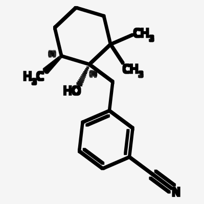 C[C@H]1CCCC(C)(C)[C@@]1(O)Cc1cccc(C#N)c1